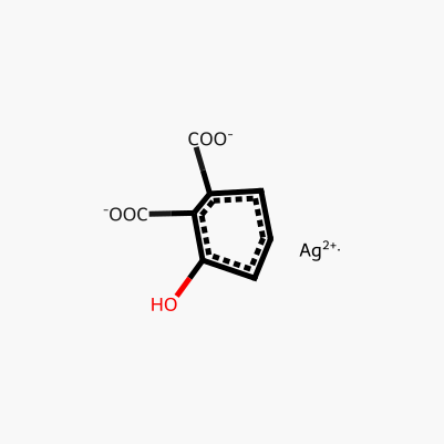 O=C([O-])c1cccc(O)c1C(=O)[O-].[Ag+2]